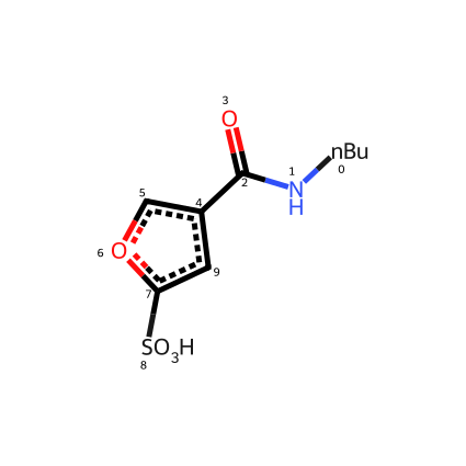 CCCCNC(=O)c1coc(S(=O)(=O)O)c1